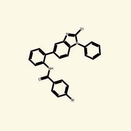 CCc1nc2cc(-c3ccccc3NC(=O)c3ccc(Br)cc3)ccc2n1-c1ccccc1